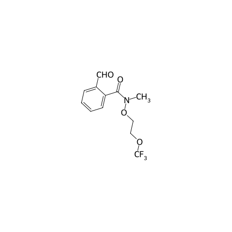 CN(OCCOC(F)(F)F)C(=O)c1ccccc1C=O